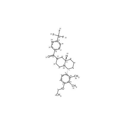 CCOc1ccc([C@H]2CCC[C@H]3CN(C(=O)c4ccc(C(F)(F)F)nc4)CCN32)c(C)c1C